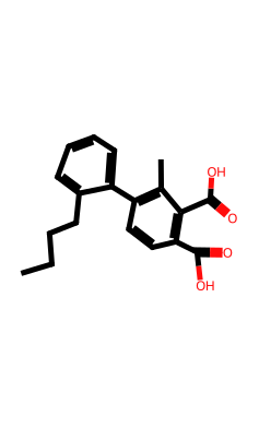 CCCCc1ccccc1-c1ccc(C(=O)O)c(C(=O)O)c1C